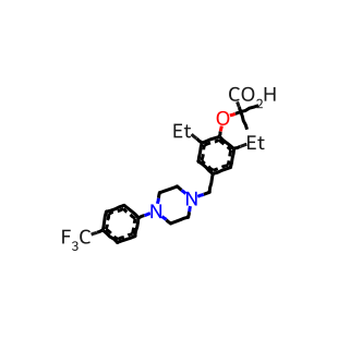 CCc1cc(CN2CCN(c3ccc(C(F)(F)F)cc3)CC2)cc(CC)c1OC(C)(C)C(=O)O